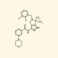 CC1(C)c2[nH]nc(NC(=O)c3cccc(N4CCOCC4)c3)c2CN1Cc1cccc(F)c1F